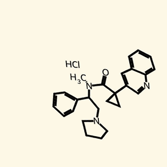 CN(C(=O)C1(c2cnc3ccccc3c2)CC1)C(CN1CCCC1)c1ccccc1.Cl